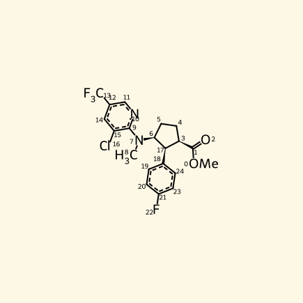 COC(=O)[C@@H]1CC[C@H](N(C)c2ncc(C(F)(F)F)cc2Cl)[C@@H]1c1ccc(F)cc1